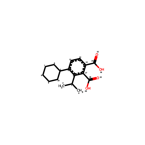 CC(C)c1c(C2CCCCC2)ccc(C(=O)O)c1C(=O)O